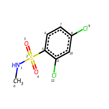 CNS(=O)(=O)c1ccc(Cl)cc1Cl